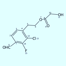 O=Cc1ccc(CCOC(=O)CO)c(Cl)c1F